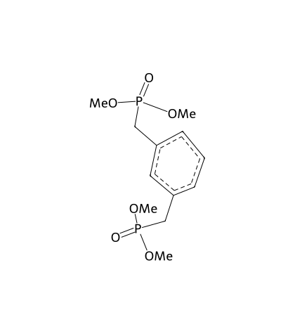 COP(=O)(Cc1cccc(CP(=O)(OC)OC)c1)OC